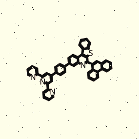 c1ccc(-c2cc(-c3ccc(-c4ccc5c(c4)nc(-c4cc6ccccc6c6ccccc46)c4sc6ccccc6c45)cc3)cc(-c3ccccn3)n2)nc1